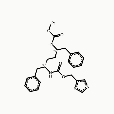 CC(C)OC(=O)N[C@H](CC[C@@H](Cc1ccccc1)NC(=O)OCc1cncs1)Cc1ccccc1